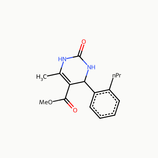 CCCc1ccccc1C1NC(=O)NC(C)=C1C(=O)OC